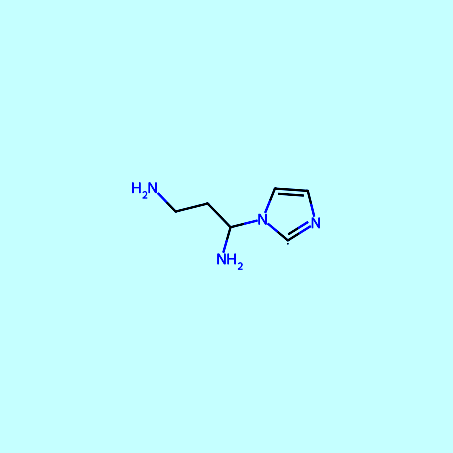 NCCC(N)n1[c]ncc1